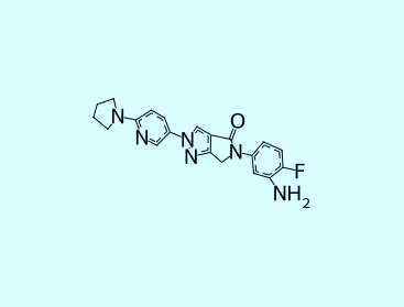 Nc1cc(N2Cc3nn(-c4ccc(N5CCCC5)nc4)cc3C2=O)ccc1F